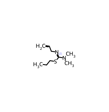 C=CC/N=C(\SCCC)N(C)C